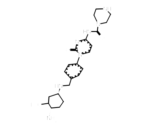 CC1C[C@@H](NCc2ccc(-n3ccc(NC(=O)N4CCNCC4)nc3=O)cc2)CC[C@@H]1N